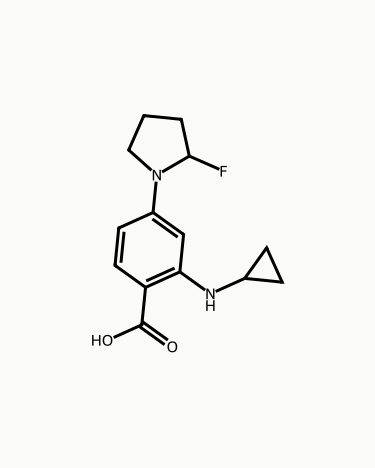 O=C(O)c1ccc(N2CCCC2F)cc1NC1CC1